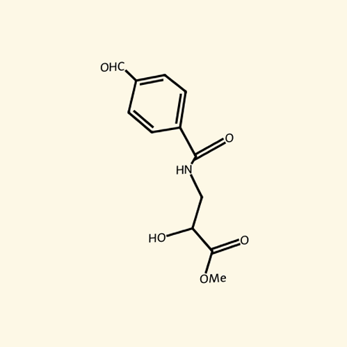 COC(=O)C(O)CNC(=O)c1ccc(C=O)cc1